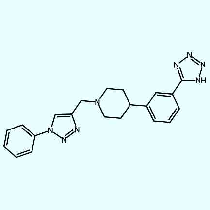 c1ccc(-n2cc(CN3CCC(c4cccc(-c5nnn[nH]5)c4)CC3)nn2)cc1